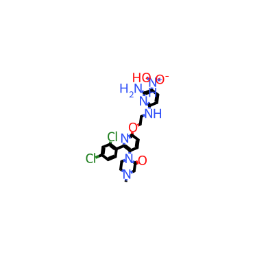 CN1CCN(c2ccc(OCCNc3ccc([NH+]([O-])O)c(N)n3)nc2-c2ccc(Cl)cc2Cl)C(=O)C1